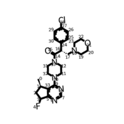 C[C@@H]1CC(F)c2ncnc(N3CCN(C(=O)[C@@H](CN4CCOCC4)c4ccc(Cl)cc4)CC3)c21